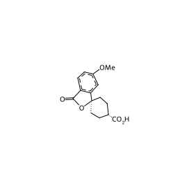 COc1ccc2c(c1)[C@]1(CC[C@@H](C(=O)O)CC1)OC2=O